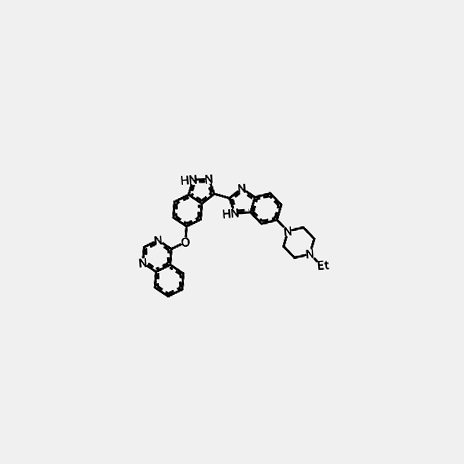 CCN1CCN(c2ccc3nc(-c4n[nH]c5ccc(Oc6ncnc7ccccc67)cc45)[nH]c3c2)CC1